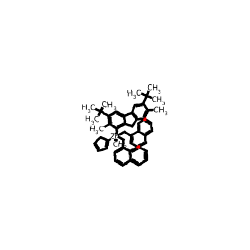 [CH2]=[Zr]([CH2]c1cccc2ccccc12)([CH2]c1cccc2ccccc12)([C]1=CC=CC1)[c]1c(C)c(C(C)(C)C)cc2c1Cc1cc(C)c(C(C)(C)C)cc1-2